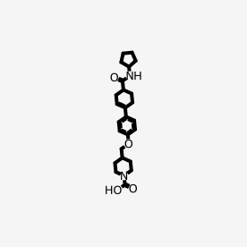 O=C(NC1CCCC1)C1CC=C(c2ccc(OCC3CCN(C(=O)O)CC3)cc2)CC1